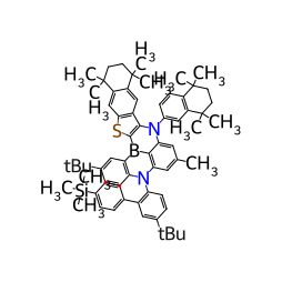 Cc1cc2c3c(c1)N(c1ccc4c(c1)C(C)(C)CCC4(C)C)c1c(sc4cc5c(cc14)C(C)(C)CCC5(C)C)B3c1cc(C(C)(C)C)ccc1N2c1ccc(C(C)(C)C)cc1-c1ccc([Si](C)(C)C)cc1